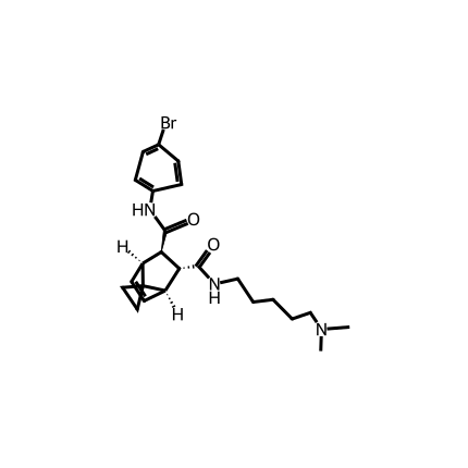 CN(C)CCCCCNC(=O)[C@H]1[C@H](C(=O)Nc2ccc(Br)cc2)[C@@H]2C=C[C@H]1C21CC1